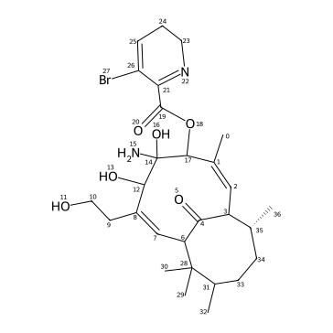 C/C1=C/C2C(=O)C(/C=C(/CCO)C(O)C(N)(O)C1OC(=O)C1=NCCC=C1Br)C(C)(C)C(C)CC[C@H]2C